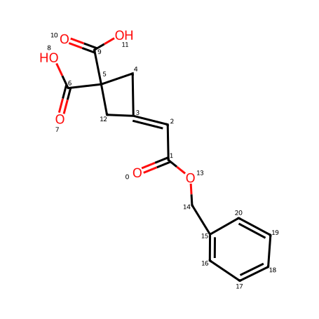 O=C(C=C1CC(C(=O)O)(C(=O)O)C1)OCc1ccccc1